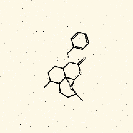 CC1CCC2[C@H](Cc3ccccc3)C(=O)OC3OC4(C)CCC1C32OO4